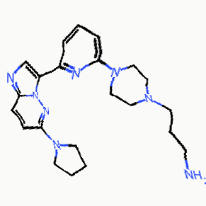 NCCCN1CCN(c2cccc(-c3cnc4ccc(N5CCCC5)nn34)n2)CC1